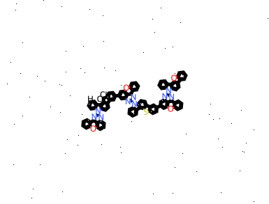 CC1(C)c2ccc(-c3cc4c5c(nc(-n6c7ccccc7c7c8sc9ccc(-c%10cc%11c%12c(nc(-n%13c%14ccccc%14c%14c%15oc%16ccccc%16c%15ccc%14%13)nc%12c%10)-c%10ccccc%10O%11)cc9c8ccc76)nc5c3)-c3ccccc3O4)cc2-c2ccc3c(c21)c1ccccc1n3-c1nc2c3c(cccc3n1)Oc1ccccc1-2